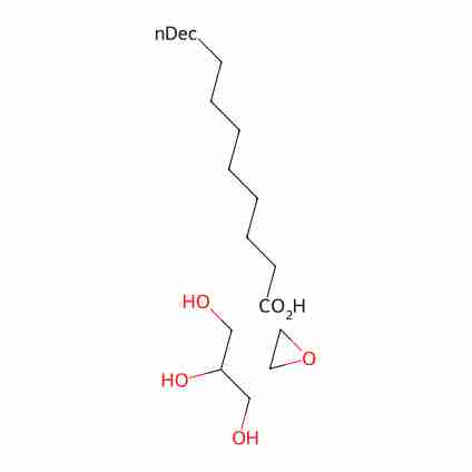 C1CO1.CCCCCCCCCCCCCCCCCC(=O)O.OCC(O)CO